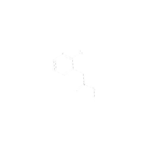 CCNC(=O)Cc1ccccc1[N+](=O)[O-]